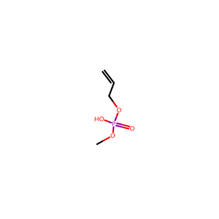 C=CCOP(=O)(O)OC